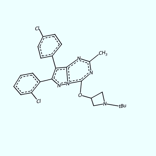 Cc1nc(OC2CN(C(C)(C)C)C2)n2nc(-c3ccccc3Cl)c(-c3ccc(Cl)cc3)c2n1